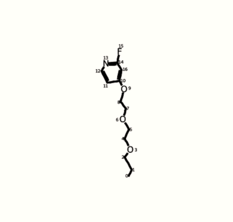 CCCOCCOCCOc1ccnc(F)c1